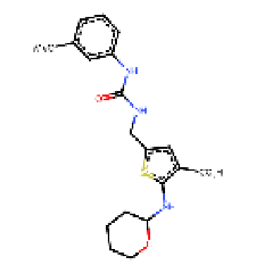 COc1cccc(NC(=O)NCc2cc(C(=O)O)c(NC3CCCCO3)s2)c1